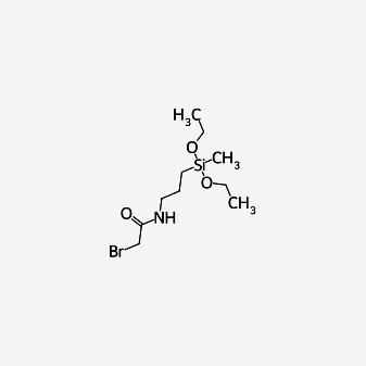 CCO[Si](C)(CCCNC(=O)CBr)OCC